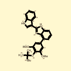 COc1cc(-c2cccc3[nH]c(-c4c[nH]c5ccccc45)nc23)cc(OC)c1OC(C)(C)C(C)(C)C